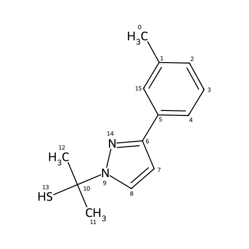 Cc1cccc(-c2ccn(C(C)(C)S)n2)c1